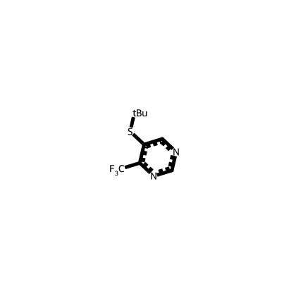 CC(C)(C)Sc1cncnc1C(F)(F)F